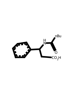 CCCCC(=O)NC(CC(=O)O)c1ccccc1